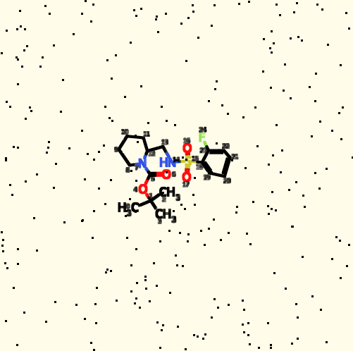 CC(C)(C)OC(=O)N1CCCCC1CNS(=O)(=O)c1ccccc1F